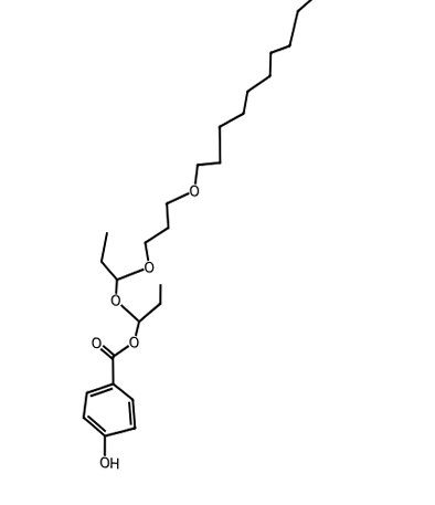 CCCCCCCCCCOCCCOC(CC)OC(CC)OC(=O)c1ccc(O)cc1